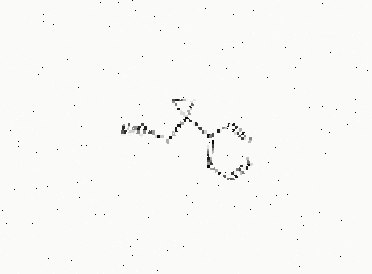 COCC1(c2cc[c]cc2)CC1